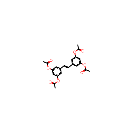 CC(=O)Oc1cc(C=Cc2cc(OC(C)=O)cc(OC(C)=O)c2)cc(OC(C)=O)c1